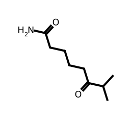 CC(C)C(=O)CCCCC(N)=O